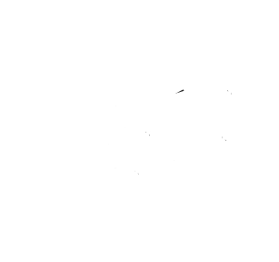 O=c1[nH]c(=O)n2c3c(c(Cl)c(C(F)(F)F)cc13)SC[C@@H](Oc1cnccn1)C2